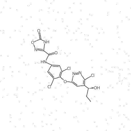 CC[C@H](O)c1cc(Oc2c(Cl)cc(NC(=O)c3noc(=O)[nH]3)cc2Cl)nnc1Cl